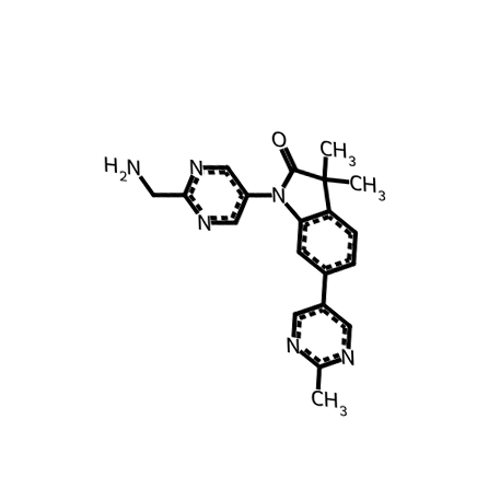 Cc1ncc(-c2ccc3c(c2)N(c2cnc(CN)nc2)C(=O)C3(C)C)cn1